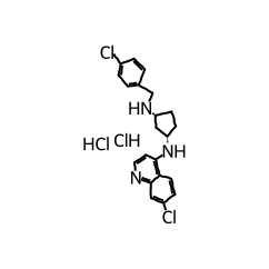 Cl.Cl.Clc1ccc(CN[C@@H]2CC[C@H](Nc3ccnc4cc(Cl)ccc34)C2)cc1